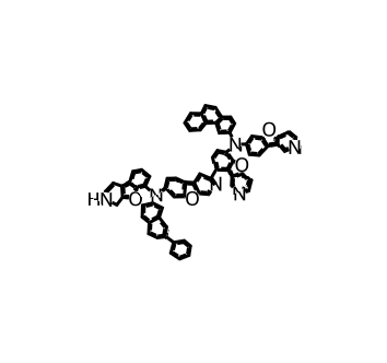 C1=Cc2c(oc3c(N(c4ccc5ccc(-c6ccccc6)cc5c4)c4ccc5c(c4)oc4cnc(-c6ccc(N(c7ccc8c(c7)oc7ccncc78)c7ccc8ccc9ccccc9c8c7)c7oc8ccncc8c67)cc45)cccc23)CN1